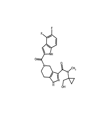 CN(C(=O)c1n[nH]c2c1CN(C(=O)c1cc3c(F)c(F)ccc3[nH]1)CC2)C1(CO)CC1